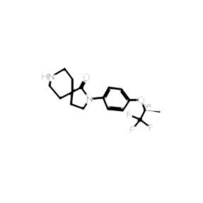 C[C@H](Oc1ccc(N2CCC3(CCNCC3)C2=O)cc1)C(F)(F)F